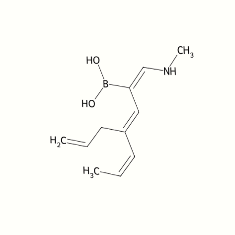 C=CCC(/C=C\C)=C\C(=C/NC)B(O)O